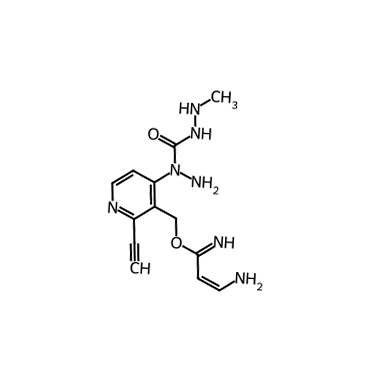 C#Cc1nccc(N(N)C(=O)NNC)c1COC(=N)/C=C\N